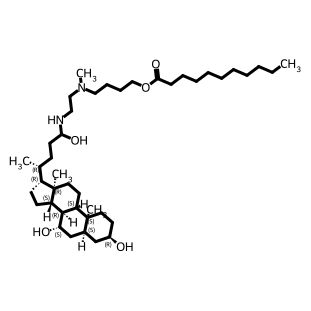 CCCCCCCCCCC(=O)OCCCCN(C)CCNC(O)CC[C@@H](C)[C@H]1CC[C@H]2[C@@H]3[C@@H](O)C[C@@H]4C[C@H](O)CC[C@]4(C)[C@H]3CC[C@]12C